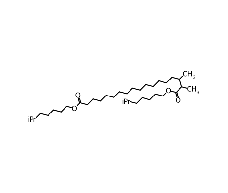 CC(C)CCCCCOC(=O)CCCCCCCCCCCCCCC(C)C(C)C(=O)OCCCCCC(C)C